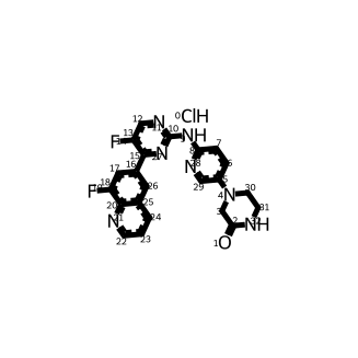 Cl.O=C1CN(c2ccc(Nc3ncc(F)c(-c4cc(F)c5ncccc5c4)n3)nc2)CCN1